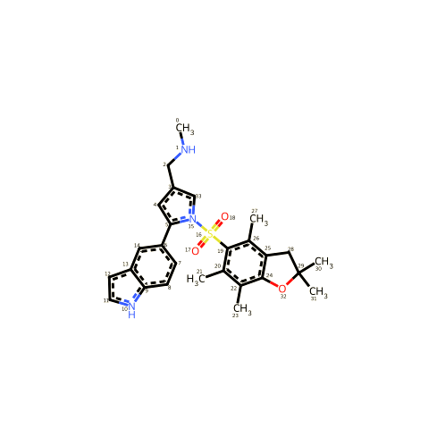 CNCc1cc(-c2ccc3[nH]ccc3c2)n(S(=O)(=O)c2c(C)c(C)c3c(c2C)CC(C)(C)O3)c1